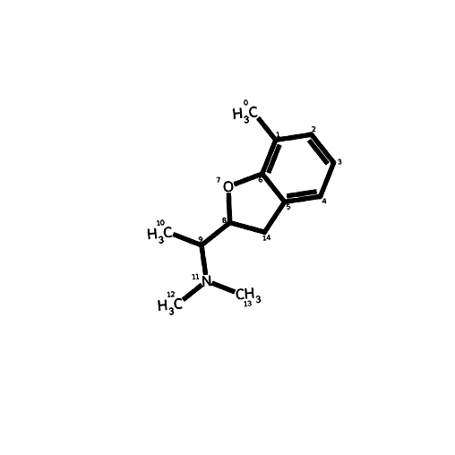 Cc1cccc2c1OC(C(C)N(C)C)C2